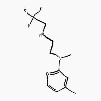 Cc1ccnc(N(C)CCNCC(F)(F)F)c1